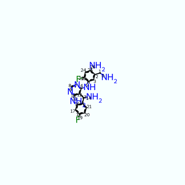 NCc1cc(Nc2ncnc(N)c2C(N)c2ccc(F)cc2)c(F)cc1N